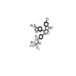 CN(C(=O)C(C)(C)N)c1ccc(N/C(=C2\C(=O)Nc3cc(Cl)ccc32)c2ccc3c(c2)ncn3C)cc1